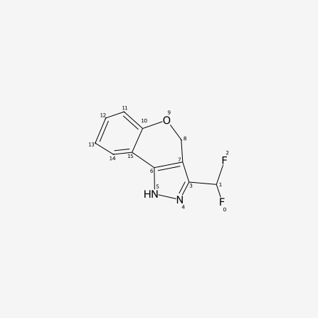 FC(F)c1n[nH]c2c1COc1ccccc1-2